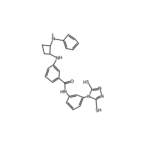 CN(c1ccccc1)C1CCC1Nc1cccc(C(=O)Nc2cccc(-n3c(S)nnc3S)c2)c1